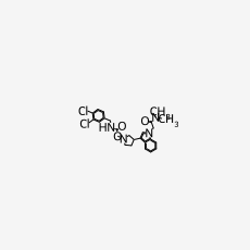 CN(C)C(=O)Cn1cc(C2CCN(OC(=O)NCc3ccc(Cl)c(Cl)c3)C2)c2ccccc21